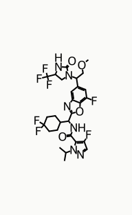 COCC(c1cc(F)c2oc(C(NC(=O)c3c(F)cnn3C(C)C)C3CCC(F)(F)CC3)nc2c1)N1CC(C(F)(F)F)NC1=O